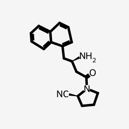 N#C[C@@H]1CCCN1C(=O)C[C@H](N)Cc1cccc2ccccc12